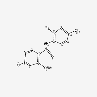 COc1cc(Cl)ccc1C(=O)Nc1ccc(C(F)(F)F)cc1I